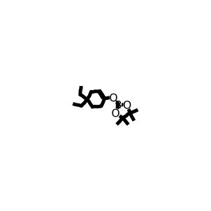 CCC1(CC)CC=C(OB2OC(C)(C)C(C)(C)O2)CC1